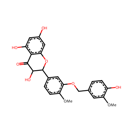 COc1cc(COc2cc(C3Oc4cc(O)cc(O)c4C(=O)C3O)ccc2OC)ccc1O